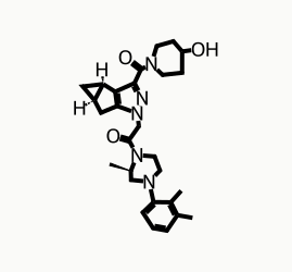 Cc1cccc(N2CCN(C(=O)Cn3nc(C(=O)N4CCC(O)CC4)c4c3C[C@H]3C[C@@H]43)[C@H](C)C2)c1C